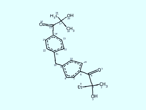 CCC(C)(O)C(=O)c1ccc(Cc2ccc(C(=O)C(C)(C)O)cc2)cc1